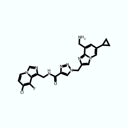 NCc1cc(C2CC2)cn2cc(Cn3cc(C(=O)NCc4ncn5ccc(Cl)c(F)c45)nn3)nc12